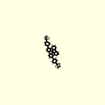 c1ccc2c(c1)-c1ccccc1C21c2cc(-c3ccc(-c4ncco4)cc3)ccc2-c2ccc(-c3ccc(-c4ncco4)cc3)cc21